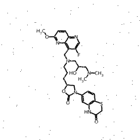 COc1ccc2ncc(F)c(CN(CCCC3CN(c4ccc5c(c4)NC(=O)CS5)C(=O)O3)CC(O)CN(C)C)c2n1